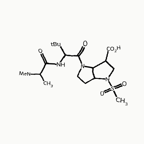 CNC(C)C(=O)NC(C(=O)N1CCC2C1C(C(=O)O)CN2S(C)(=O)=O)C(C)(C)C